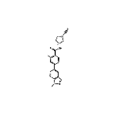 Cn1ncc2cc(-c3ccc(C(=O)N[C@@H]4CCN(C#N)C4)c(F)c3)ccc21